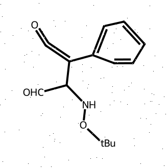 CC(C)(C)ONC(C=O)C(=C=O)c1ccccc1